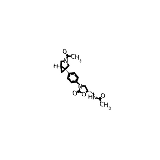 CC(=O)NC[C@H]1CN(c2ccc([C@]34C[C@H]3CN(C(C)=O)C4)cc2)C(=O)O1